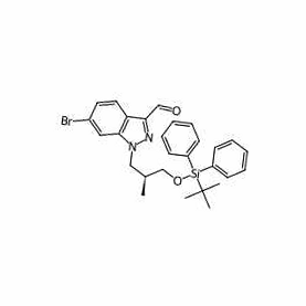 C[C@H](CO[Si](c1ccccc1)(c1ccccc1)C(C)(C)C)Cn1nc(C=O)c2ccc(Br)cc21